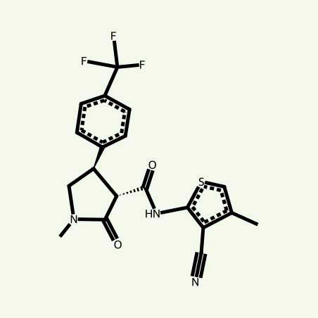 Cc1csc(NC(=O)[C@@H]2C(=O)N(C)C[C@H]2c2ccc(C(F)(F)F)cc2)c1C#N